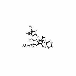 COc1cc(=C2Cc3ccccc3N2)[nH]c1=Cc1[nH]c(C)cc1C